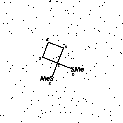 CSC1(SC)CCC1